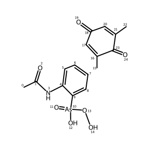 CC(=O)Nc1ccccc1[As](=O)(O)OO.CC1=CC(=O)C=C(C)C1=O